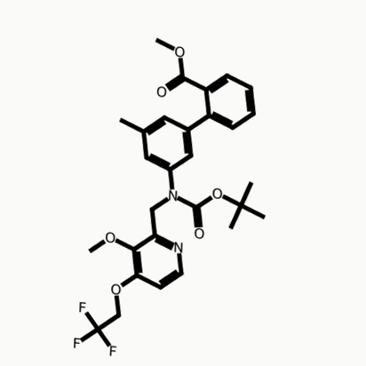 COC(=O)c1ccccc1-c1cc(C)cc(N(Cc2nccc(OCC(F)(F)F)c2OC)C(=O)OC(C)(C)C)c1